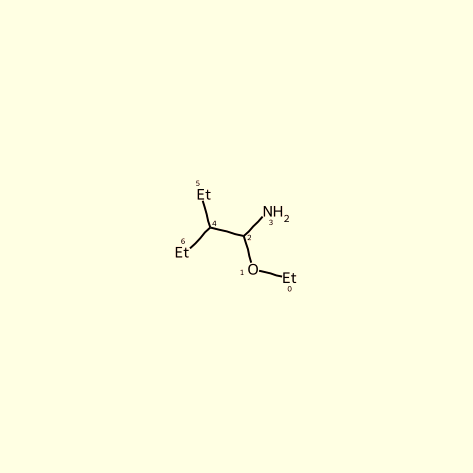 CCOC(N)C(CC)CC